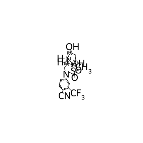 C[C@@]12[C@H]3C[C@H]([C@H](O)C3)[C@@H]1CN(c1ccc(C#N)c(C(F)(F)F)c1)S2(=O)=O